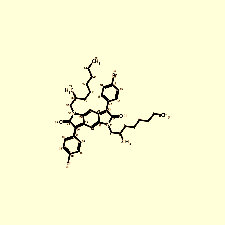 CCCCCCC(C)CN1C(=O)C(c2ccc(Br)cc2)=c2cc3c(cc21)=C(c1ccc(Br)cc1)C(=O)N3CC(C)CCCCCC